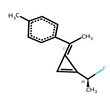 C/C(=C1C=C/1[C@H](C)F)c1ccc(C)cc1